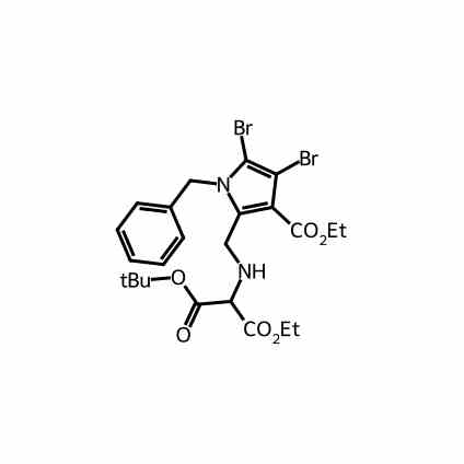 CCOC(=O)c1c(Br)c(Br)n(Cc2ccccc2)c1CNC(C(=O)OCC)C(=O)OC(C)(C)C